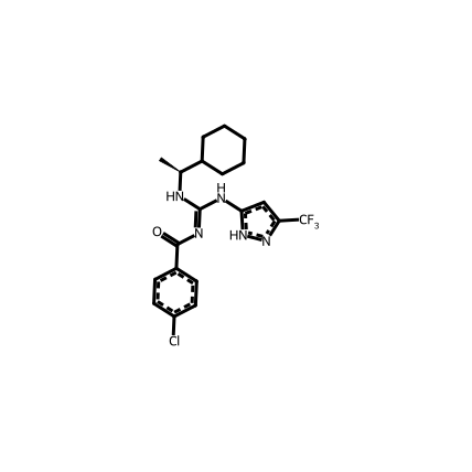 C[C@H](N/C(=N\C(=O)c1ccc(Cl)cc1)Nc1cc(C(F)(F)F)n[nH]1)C1CCCCC1